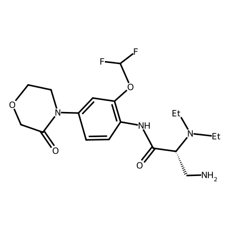 CCN(CC)[C@H](CN)C(=O)Nc1ccc(N2CCOCC2=O)cc1OC(F)F